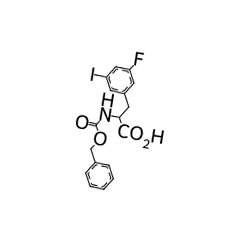 O=C(NC(Cc1cc(F)cc(I)c1)C(=O)O)OCc1ccccc1